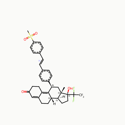 C[C@]12C[C@H](c3ccc(/C=C/c4ccc(S(C)(=O)=O)cc4)cc3)C3=C4CCC(=O)C=C4CC[C@H]3[C@@H]1CC[C@@]2(O)C(F)(F)C(F)(F)F